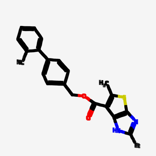 CCc1nc2sc(C)c(C(=O)OCc3ccc(-c4ccccc4C#N)cc3)c2[nH]1